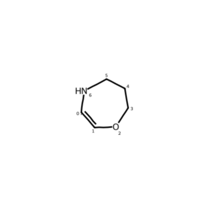 [C]1=COCCCN1